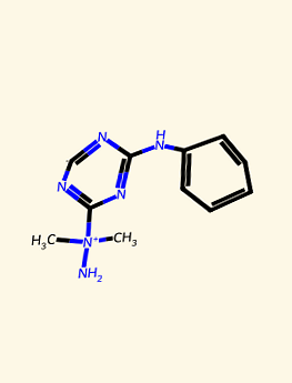 C[N+](C)(N)c1n[c]nc(Nc2ccccc2)n1